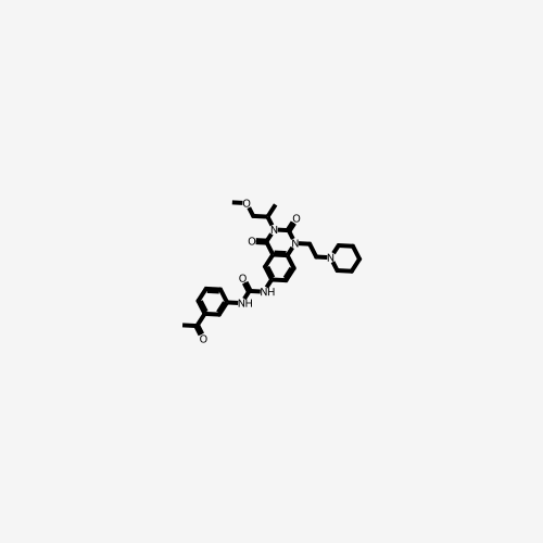 COCC(C)n1c(=O)c2cc(NC(=O)Nc3cccc(C(C)=O)c3)ccc2n(CCN2CCCCC2)c1=O